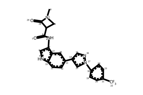 CN1CC(C(=O)Nc2c[nH]c3ccc(-c4cnn(-c5ccc(C(F)(F)F)cc5)c4)cc23)C1=O